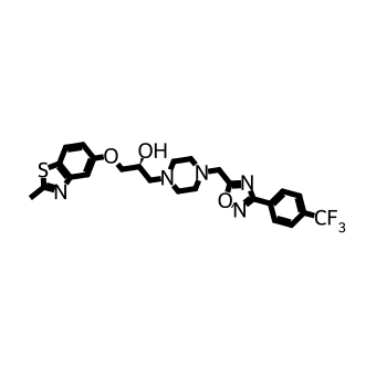 Cc1nc2cc(OC[C@H](O)CN3CCN(Cc4nc(-c5ccc(C(F)(F)F)cc5)no4)CC3)ccc2s1